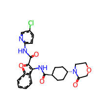 O=C(Nc1ccc(Cl)cn1)c1oc2ccccc2c1NC(=O)[C@H]1CC[C@H](N2CCOCC2=O)CC1